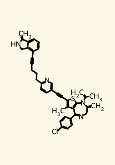 C=C1NCc2c(C#CCCCc3ccc(C#Cc4sc5c(c4C)C(c4ccc(Cl)cc4)=NCC(=C)N5C(=C)C)cn3)cccc21